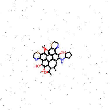 COc1c(O)c2c3c(c(OC)c4c5c(OC)c6c(c7c(O)c(NC8CCCC8)c8c(c(c1C(C(C)=O)C(C)=C8)c24)c75)=NCCS6)SCCN=3